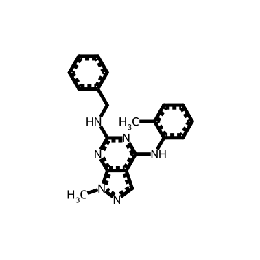 Cc1ccccc1Nc1nc(NCc2ccccc2)nc2c1cnn2C